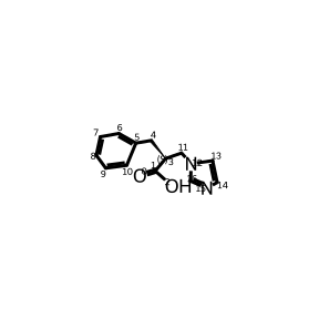 O=C(O)[C@@H](Cc1ccccc1)Cn1ccnc1